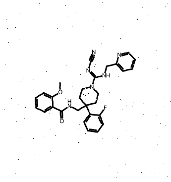 COc1ccccc1C(=O)NCC1(c2ccccc2F)CCN(/C(=N/C#N)NCc2ccccn2)CC1